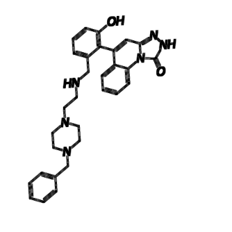 O=c1[nH]nc2cc(-c3c(O)cccc3CNCCN3CCN(Cc4ccccc4)CC3)c3ccccc3n12